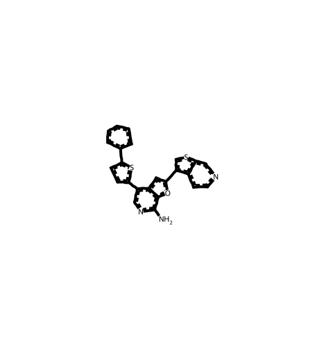 Nc1ncc(-c2ccc(-c3ccccc3)s2)c2cc(-c3csc4cnccc34)oc12